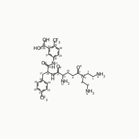 NCCN(CCN)C(=O)CCC(N)C(=O)NC(Cc1ccc(C(F)(F)F)cc1)C(=O)Nc1ccc(C(F)(F)F)c(B(O)O)c1